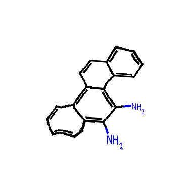 Nc1c(N)c2c3ccccc3ccc2c2ccccc12